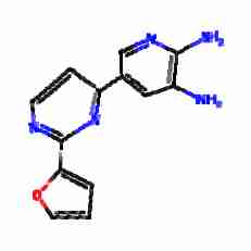 Nc1cc(-c2ccnc(-c3ccco3)n2)cnc1N